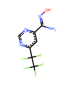 NC(=NO)c1cc(C(F)(F)C(F)(F)F)ncn1